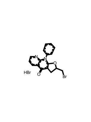 Br.O=c1c2c(n(-c3ccccc3)c3ncccc13)OC(CBr)C2